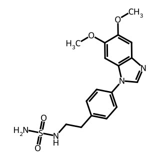 COc1cc2ncn(-c3ccc(CCNS(N)(=O)=O)cc3)c2cc1OC